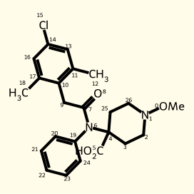 CON1CCC(C(=O)O)(N(C(=O)Cc2c(C)cc(Cl)cc2C)c2ccccc2)CC1